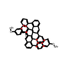 CCCOc1ccc(C(=O)Oc2c(-c3c(-c4ccccc4)cc4cccc(-c5ccccc5)c4c3OC(=O)c3ccc(OCCC)cc3)c(-c3ccccc3)cc3cccc(-c4ccccc4)c23)cc1